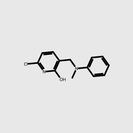 CN(Cc1ccc(Cl)nc1O)c1ccccc1